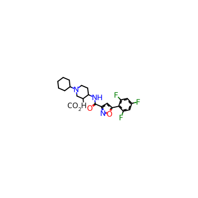 O=C(NC1CCN(C2CCCCC2)CC1C(=O)O)c1cc(-c2c(F)cc(F)cc2F)on1